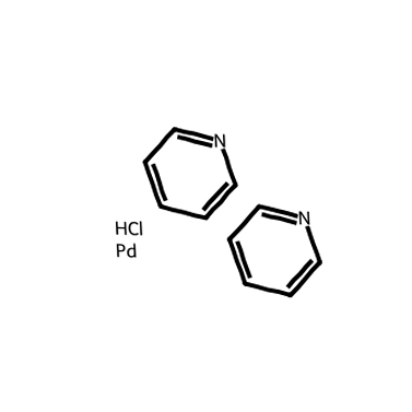 Cl.[Pd].c1ccncc1.c1ccncc1